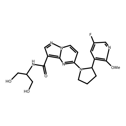 COc1ncc(F)cc1C1CCCN1c1ccn2ncc(C(=O)NC(CO)CO)c2n1